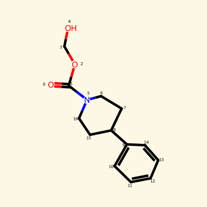 O=C(OCO)N1CCC(c2ccccc2)CC1